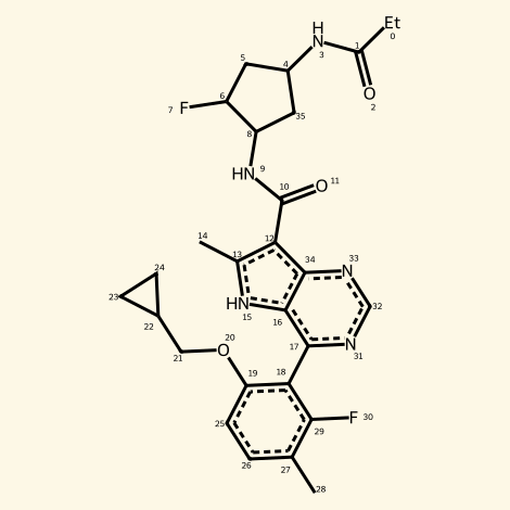 CCC(=O)NC1CC(F)C(NC(=O)c2c(C)[nH]c3c(-c4c(OCC5CC5)ccc(C)c4F)ncnc23)C1